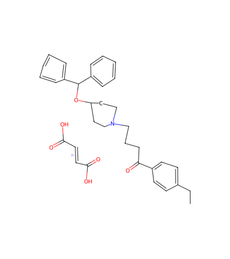 CCc1ccc(C(=O)CCCN2CCC(OC(c3ccccc3)c3ccccc3)CC2)cc1.O=C(O)/C=C/C(=O)O